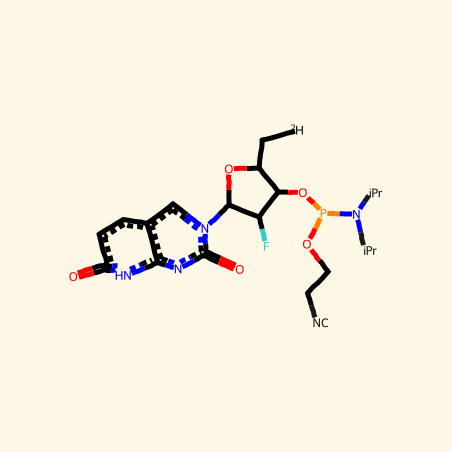 [2H]CC1OC(n2cc3ccc(=O)[nH]c3nc2=O)C(F)C1OP(OCC[N+]#[C-])N(C(C)C)C(C)C